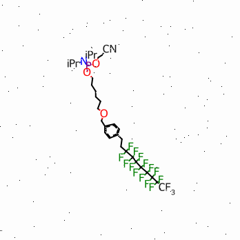 CC(C)N(C(C)C)P(OCCC#N)OCCCCCCOCc1ccc(CCC(F)(F)C(F)(F)C(F)(F)C(F)(F)C(F)(F)C(F)(F)C(F)(F)C(F)(F)F)cc1